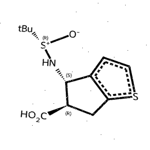 CC(C)(C)[S@+]([O-])N[C@@H]1c2ccsc2C[C@H]1C(=O)O